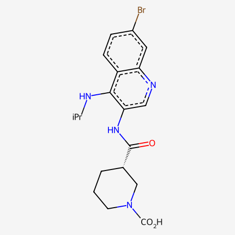 CC(C)Nc1c(NC(=O)[C@H]2CCCN(C(=O)O)C2)cnc2cc(Br)ccc12